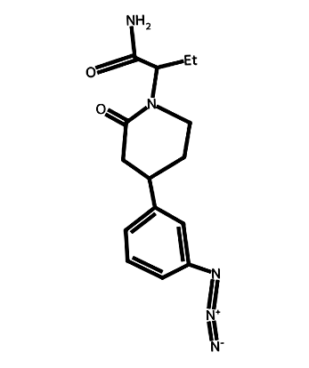 CCC(C(N)=O)N1CCC(c2cccc(N=[N+]=[N-])c2)CC1=O